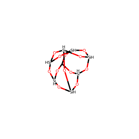 O1C2O[SiH]3O[SiH]4O[SiH]1O[SiH]1O[SiH](O2)O[SiH](O3)O[SiH](O4)O1